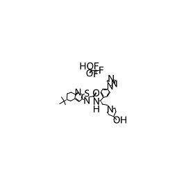 CC(C)(C)[C@H]1CCc2nc3sc(C(=O)N[C@H](CCN4CCC(O)CC4)c4ccc(-n5cncn5)cc4)nc3cc2C1.O=C(O)C(F)(F)F